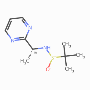 C[C@@H](N[S+]([O-])C(C)(C)C)c1ncccn1